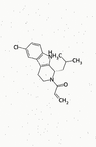 C=CC(=O)N1CCc2c([nH]c3ccc(Cl)cc23)[C@@H]1CC(C)C